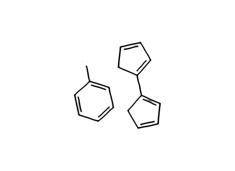 C1=CCC(C2=CC=CC2)=C1.Oc1ccccc1